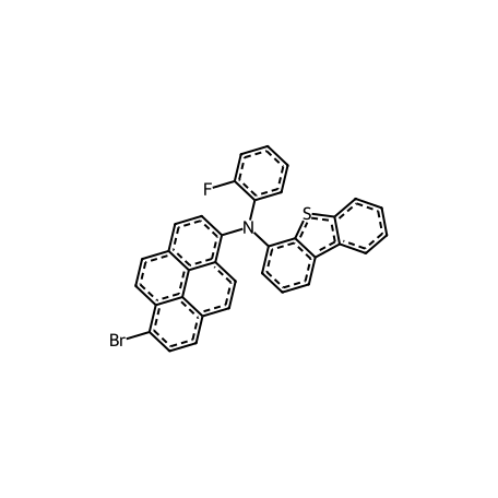 Fc1ccccc1N(c1ccc2ccc3c(Br)ccc4ccc1c2c43)c1cccc2c1sc1ccccc12